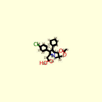 CC(=O)OC1c2c(-c3ccccc3)c(-c3ccc(Cl)cc3)c(CC(=O)O)n2CC1(C)C